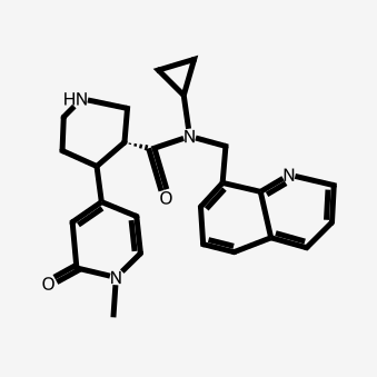 Cn1ccc(C2CCNC[C@@H]2C(=O)N(Cc2cccc3cccnc23)C2CC2)cc1=O